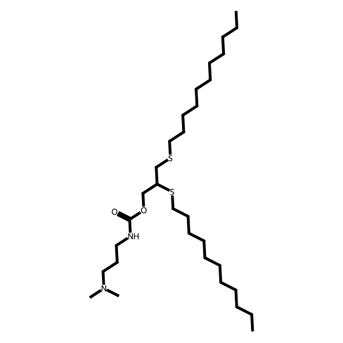 CCCCCCCCCCCSCC(COC(=O)NCCCN(C)C)SCCCCCCCCCCC